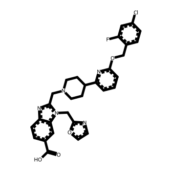 O=C(O)c1ccc2nc(CN3CCC(c4cccc(OCc5ccc(Cl)cc5F)n4)CC3)n(Cc3ncco3)c2c1